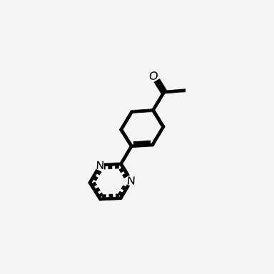 CC(=O)C1CC=C(c2ncccn2)CC1